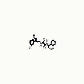 O=C(NCCc1c[nH]c2ccc(Cl)cc12)C(=O)NC(CO)C1CCCCC1